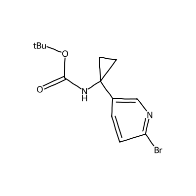 CC(C)(C)OC(=O)NC1(c2ccc(Br)nc2)CC1